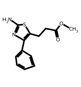 COC(=O)CCc1sc(N)nc1-c1ccccc1